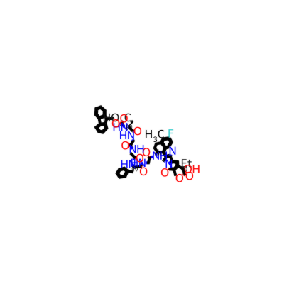 CC[C@@]1(O)C(=O)OCc2c1cc1n(c2=O)Cc2c-1nc1cc(F)c(C)c3c1c2[C@@H](NC(=O)CNC(=O)[C@H](Cc1ccccc1)NC(=O)CNC(=O)CNC(=O)[C@H](CC(=O)O)NC(=O)OCC1c2ccccc2-c2ccccc21)CC3